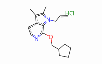 C=CCn1c(C)c(C)c2ccnc(OCC3CCCC3)c21.Cl